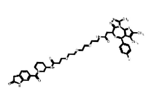 Cc1sc2c(c1C)C(c1ccc(Cl)cc1)=NC(CC(=O)NCCOCCOCCOCCC(=O)NC1CCCN(C(=O)c3ccc4c(c3)NC(=O)C4)C1)c1nnc(C)n1-2